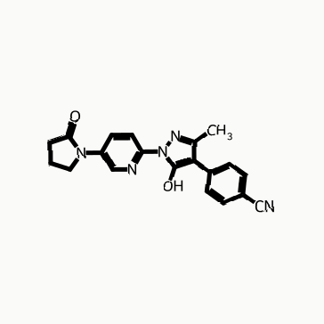 Cc1nn(-c2ccc(N3CCCC3=O)cn2)c(O)c1-c1ccc(C#N)cc1